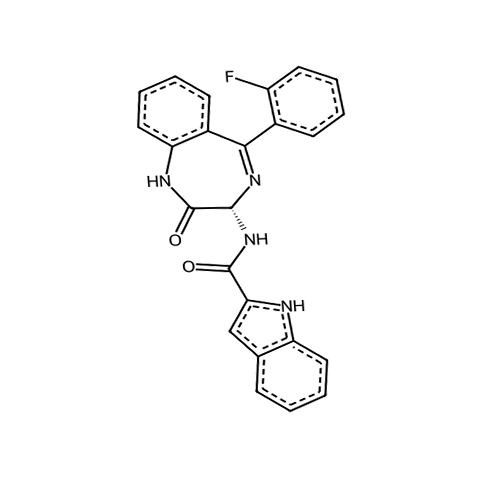 O=C(N[C@H]1N=C(c2ccccc2F)c2ccccc2NC1=O)c1cc2ccccc2[nH]1